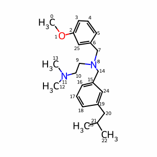 COc1cccc(CN(CCN(C)C)Cc2cccc(CC(C)C)c2)c1